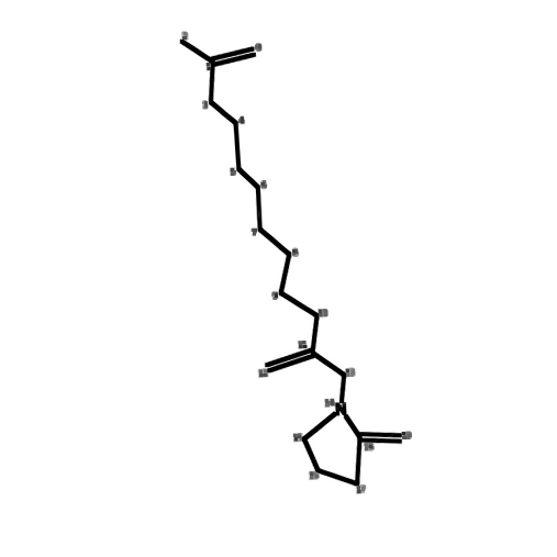 C=C(C)CCCCCCCCC(=C)CN1CCCC1=C